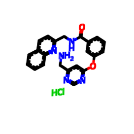 Cl.NCc1cc(Oc2cccc(C(=O)NCc3ccc4ccccc4n3)c2)ncn1